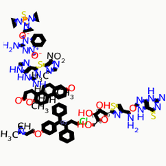 CN(C)CCOc1ccc(/C(=C(/CCCl)c2ccccc2)c2ccccc2)cc1.C[C@]12C=CC(=O)C=C1CC[C@@H]1[C@@H]2CC[C@]2(C)OC(=O)CC[C@@H]12.Cn1cnc([N+](=O)[O-])c1Sc1nc(=N)[nH]c2[nH]cnc12.NC(=O)c1csc([C@@H]2O[C@H](CO)[C@@H](O)[C@H]2O)n1.Nc1n[n+]([O-])c2ccccc2[n+]1[O-].Nc1nc(=S)c2[nH]cnc2[nH]1.S=P(N1CC1)(N1CC1)N1CC1